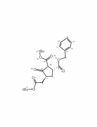 CC(C)(C)OC(=O)C[C@@H]1C[C@@H](C(=O)OCc2ccccc2)N(C(=O)OC(C)(C)C)C1=O